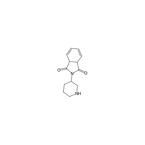 O=C1C2C=CC=CC2C(=O)N1C1CCCNC1